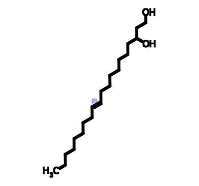 CCCCCCCC/C=C/CCCCCCCC(O)CCO